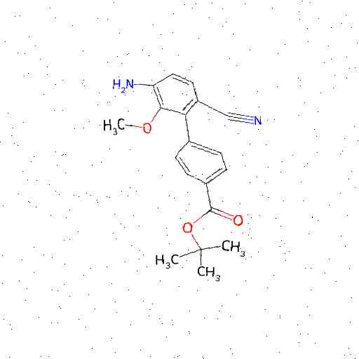 COc1c(N)ccc(C#N)c1-c1ccc(C(=O)OC(C)(C)C)cc1